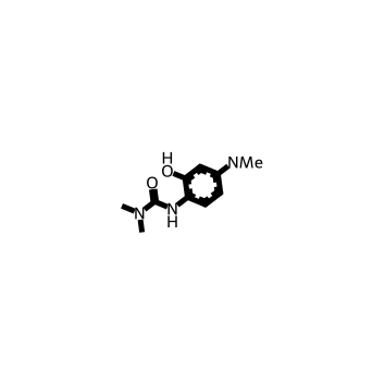 CNc1ccc(NC(=O)N(C)C)c(O)c1